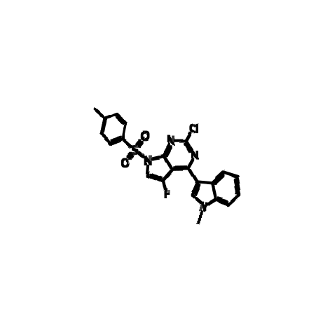 Cc1ccc(S(=O)(=O)n2cc(F)c3c(-c4cn(C)c5ccccc45)nc(Cl)nc32)cc1